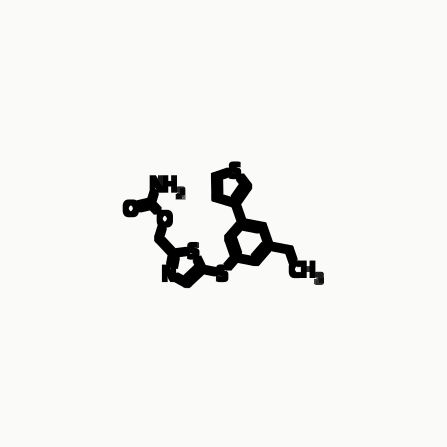 CCc1cc(Sc2cnc(COC(N)=O)s2)cc(-c2ccsc2)c1